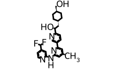 Cc1cc(Nc2cc(C(F)F)ccn2)nc(-c2ccc(C(O)C[C@H]3CC[C@H](CO)CC3)nc2)c1